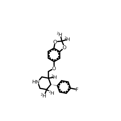 [2H]C1([2H])Oc2ccc(OCC3([2H])CNCC([2H])([2H])[C@H]3c3ccc(F)cc3)cc2O1